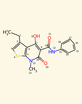 CCc1csc2c1c(O)c(C(=O)Nc1ccccc1)c(=O)n2C